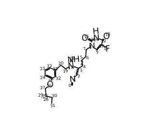 C=N/C=C(/CCCCn1cc(F)c(=O)[nH]c1=O)N(N)CCc1cccc(OC[C@@H](C)CC)c1